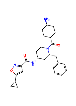 N[C@H]1CC[C@H](C(=O)N2CC[C@@H](NC(=O)c3cc(C4CC4)on3)C[C@H]2Cc2ccccc2)CC1